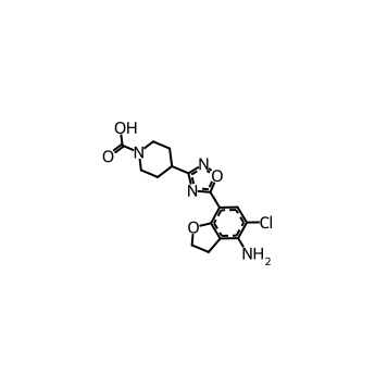 Nc1c(Cl)cc(-c2nc(C3CCN(C(=O)O)CC3)no2)c2c1CCO2